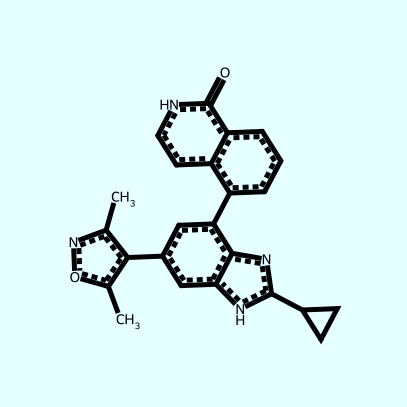 Cc1noc(C)c1-c1cc(-c2cccc3c(=O)[nH]ccc23)c2nc(C3CC3)[nH]c2c1